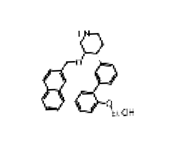 CCOc1ccccc1-c1cccc([C@H]2CCNC[C@@H]2OCc2ccc3ccccc3c2)c1.Cl